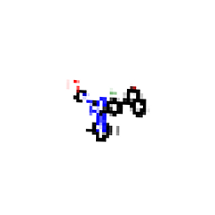 Oc1cc(-c2ccc3c(N4C[C@H]5CC[C@@H](C4)N5)nc(N4CCC(O)C4)nc3c2F)c2ccccc2c1